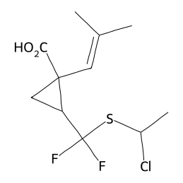 CC(C)=CC1(C(=O)O)CC1C(F)(F)SC(C)Cl